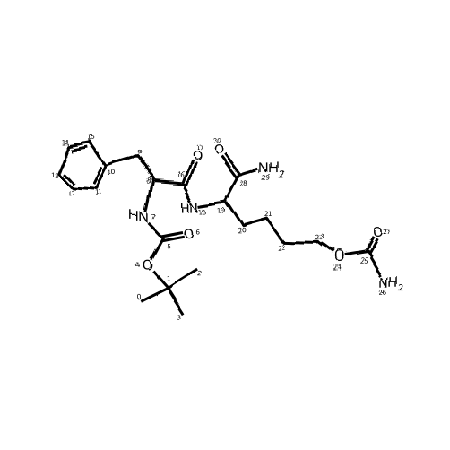 CC(C)(C)OC(=O)NC(Cc1ccccc1)C(=O)NC(CCCCOC(N)=O)C(N)=O